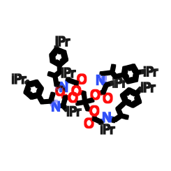 C/C(Cc1ccc(C(C)C)cc1)=N\C(C(=O)OCC(COC(=O)C(N=CC(C)Cc1ccc(C(C)C)cc1)C(C)C)(COC(=O)C(/N=C\C(C)Cc1ccc(C(C)C)cc1)C(C)C)COC(=O)C(/N=C\C(C)Cc1ccc(C(C)C)cc1)C(C)C)C(C)C